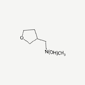 CN(O)CC1CCOC1